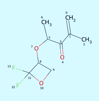 C=C(C)C(=O)C(C)OC1COC1(F)F